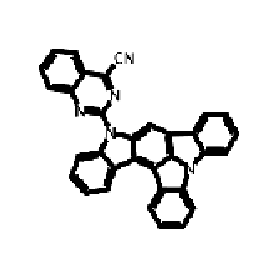 N#Cc1nc(-n2c3ccccc3c3c4c5ccccc5n5c6ccccc6c(cc32)c45)nc2ccccc12